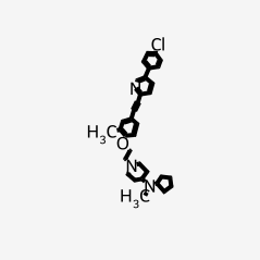 Cc1cc(C#Cc2ccc(-c3ccc(Cl)cc3)cn2)ccc1OCCN1CCC(N(C)C2CCCC2)CC1